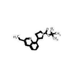 CCc1cnc2c(C3CCN(C(=O)OC(C)(C)C)C3)cccc2c1